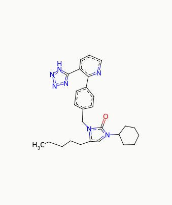 CCCCCc1cn(C2CCCCC2)c(=O)n1Cc1ccc(-c2ncccc2-c2nnn[nH]2)cc1